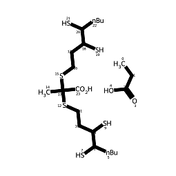 CCC(=O)O.CCCCC(S)C(S)CCSC(C)(SCCC(S)C(S)CCCC)C(=O)O